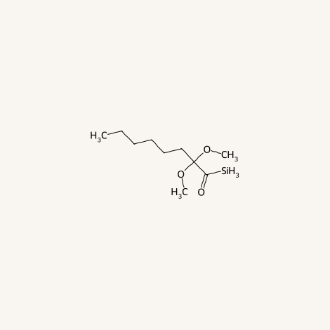 CCCCCCC(OC)(OC)C(=O)[SiH3]